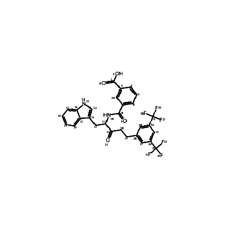 O=C(O)c1cccc(C(=O)NC(Cc2c[nH]c3ccccc23)C(=O)CCc2cc(C(F)(F)F)cc(C(F)(F)F)c2)c1